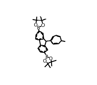 CC1C=CC=C(C2c3cc(B4OC(C)(C)C(C)(C)O4)ccc3-c3ccc(B4OC(C)(C)C(C)(C)O4)cc32)C=C1